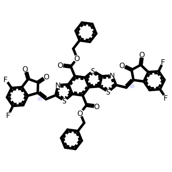 O=C1C(=O)c2c(F)cc(F)cc2/C1=C/c1nc2c(C(=O)OCc3ccccc3)c3sc4nc(/C=C5\C(=O)C(=O)c6c(F)cc(F)cc65)sc4c3c(C(=O)OCc3ccccc3)c2s1